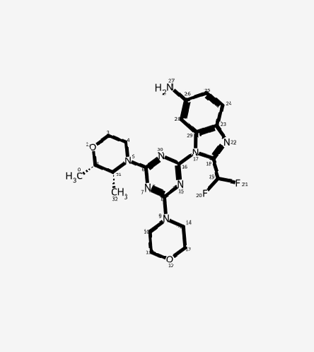 C[C@@H]1OCCN(c2nc(N3CCOCC3)nc(-n3c(C(F)F)nc4ccc(N)cc43)n2)[C@@H]1C